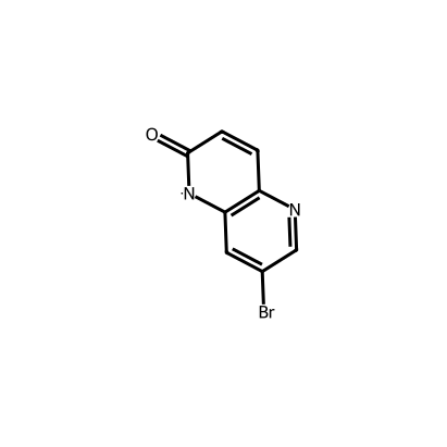 O=C1C=Cc2ncc(Br)cc2[N]1